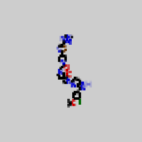 CC(C)Oc1ccc(-c2n[nH]c3ccc(N4CC[C@]5(CCN(CC(=O)N6CC=C(c7ncc(-c8ncn(C)n8)s7)CC6)C5)C4=O)nc23)cc1F